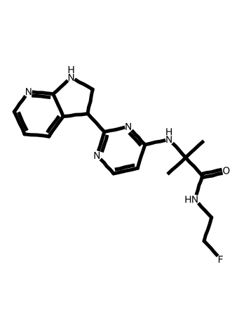 CC(C)(Nc1ccnc(C2CNc3ncccc32)n1)C(=O)NCCF